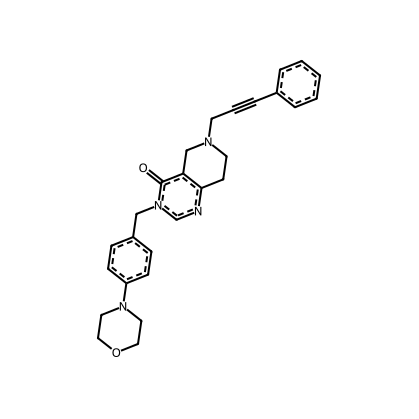 O=c1c2c(ncn1Cc1ccc(N3CCOCC3)cc1)CCN(CC#Cc1ccccc1)C2